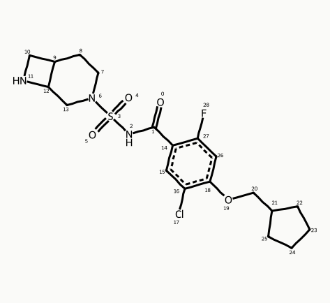 O=C(NS(=O)(=O)N1CCC2CNC2C1)c1cc(Cl)c(OCC2CCCC2)cc1F